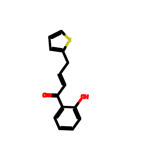 O=C(/C=C/Cc1cccs1)c1ccccc1O